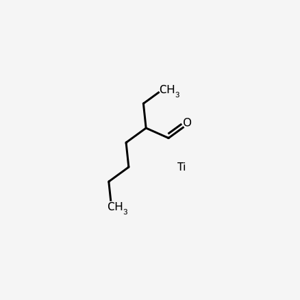 CCCCC(C=O)CC.[Ti]